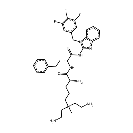 C[N+](CCN)(CCN)CCC[C@H](N)C(=O)N[C@H](CCc1ccccc1)C(=O)Nc1nc2ccccc2n1Cc1cc(F)c(F)c(F)c1